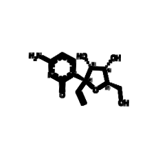 C=C[C@@]1(n2ccc(N)nc2=O)O[C@H](CO)[C@@H](O)[C@H]1O